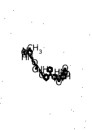 Cc1ccc(NCCOCCC(=O)NCCOc2cccc(C(c3ccccc3)C3CCN(C(=O)N4CC[C@@H]5OCC(=O)N[C@@H]5C4)CC3)c2)c2nonc12